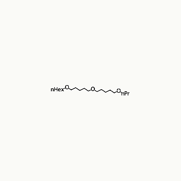 CCCCCCOCCCCCOCCCCCOCCC